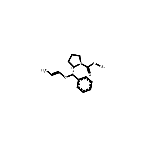 CC=COC(c1ccccc1)[C@@H]1CCCN1C(=O)OC(C)(C)C